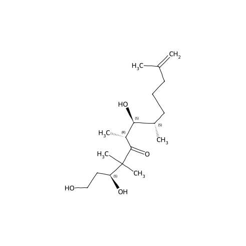 C=C(C)CCC[C@H](C)[C@H](O)[C@@H](C)C(=O)C(C)(C)[C@@H](O)CCO